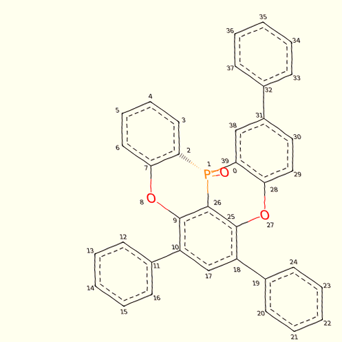 O=[P@@]12c3ccccc3Oc3c(-c4ccccc4)cc(-c4ccccc4)c(c31)Oc1ccc(-c3ccccc3)cc12